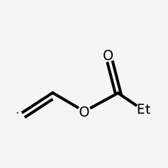 [CH]=COC(=O)CC